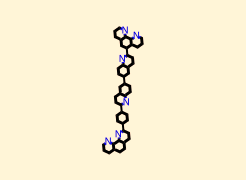 c1cnc2c(c1)ccc1ccc(-c3ccc(-c4ccc5cc(-c6ccc7nc(-c8cc9cccnc9c9ncccc89)ccc7c6)ccc5n4)cc3)nc12